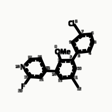 COc1c(-c2cccc(Cl)c2)cc(C)cc1-c1ccnc(F)c1